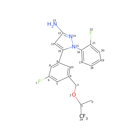 CC(OCc1cc(F)cc(-c2cc(N)nn2-c2ccccc2F)c1)C(F)(F)F